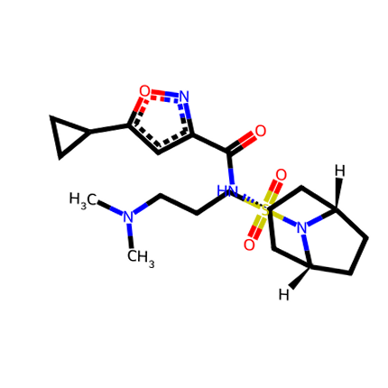 CN(C)CCCS(=O)(=O)N1[C@@H]2CC[C@H]1C[C@@H](NC(=O)c1cc(C3CC3)on1)C2